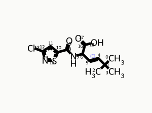 CC(C)(C)/C=C/C(NC(=O)c1cc(Cl)ns1)C(=O)O